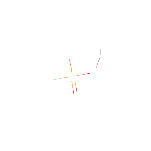 CCOP([O])(=O)F